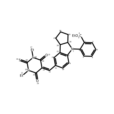 CCOC(=O)c1ccccc1N1c2ccc(C=C3C(=O)N(CC)C(=S)N(CC)C3=O)cc2C2CCCC21